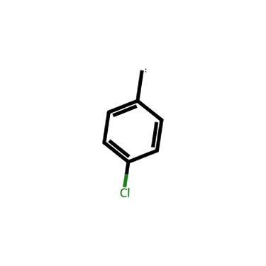 [CH]c1ccc(Cl)cc1